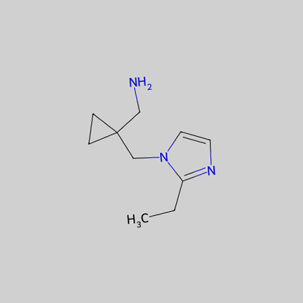 CCc1nccn1CC1(CN)CC1